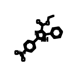 CCOC(=O)c1nc(-c2ccc([N+](=O)[O-])cc2)[nH]c1-c1ccccc1